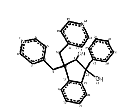 OC1C(Cc2ccncc2)(Cc2ccncc2)c2ccccc2C1(O)c1ccccc1